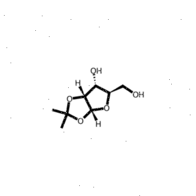 CC1(C)O[C@H]2O[C@H](CO)[C@@H](O)[C@H]2O1